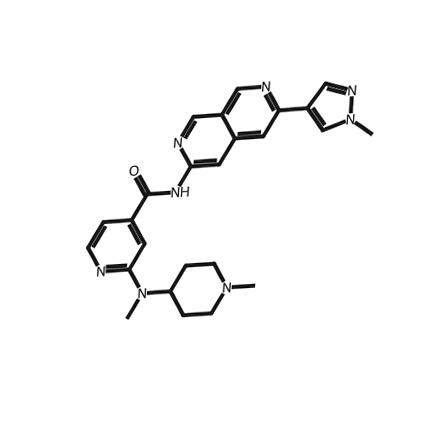 CN1CCC(N(C)c2cc(C(=O)Nc3cc4cc(-c5cnn(C)c5)ncc4cn3)ccn2)CC1